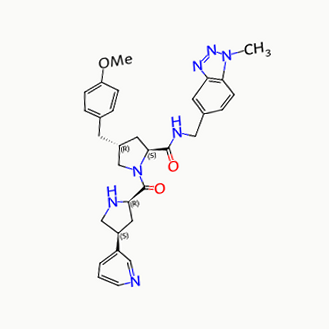 COc1ccc(C[C@@H]2C[C@@H](C(=O)NCc3ccc4c(c3)nnn4C)N(C(=O)[C@H]3C[C@@H](c4cccnc4)CN3)C2)cc1